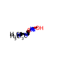 CN(C)c1ccc(CCCN(C)C2CCc3cc(OCCn4cc(CCCO)nn4)ccc32)cc1